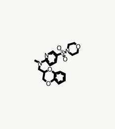 CN(CC1COc2ccccc2O1)c1ccc(S(=O)(=O)N2CCOCC2)cn1